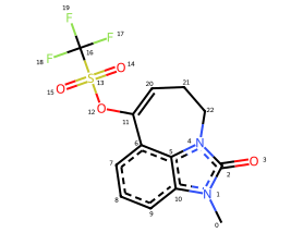 Cn1c(=O)n2c3c(cccc31)C(OS(=O)(=O)C(F)(F)F)=CCC2